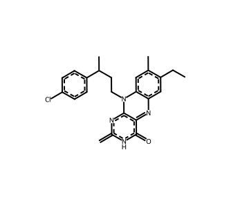 C=c1nc2c(c(=O)[nH]1)=Nc1cc(CC)c(C)cc1N2CCC(C)c1ccc(Cl)cc1